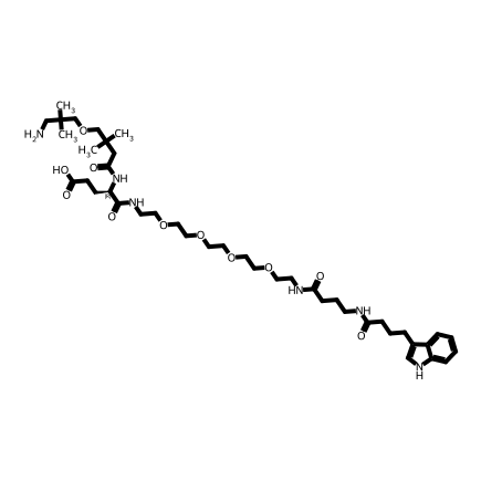 CC(C)(CN)COCC(C)(C)CC(=O)N[C@H](CCC(=O)O)C(=O)NCCOCCOCCOCCOCCNC(=O)CCCNC(=O)CCCc1c[nH]c2ccccc12